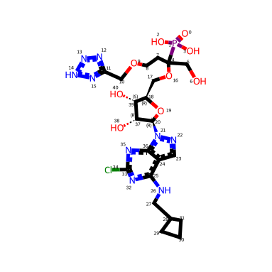 O=P(O)(O)C(CO)(CCOCc1nn[nH]n1)OC[C@H]1O[C@@H](n2ncc3c(NCC4CCC4)nc(Cl)nc32)[C@H](O)[C@@H]1O